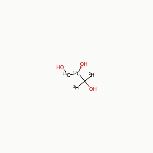 [2H]C([2H])(O)[13C@H](O)[13CH2]O